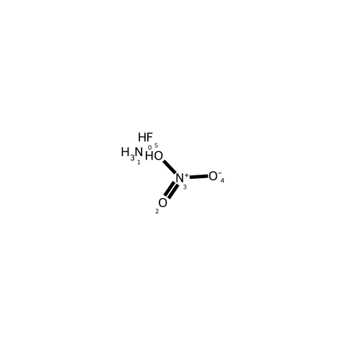 F.N.O=[N+]([O-])O